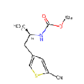 CC(C)(C)OC(=O)N[C@@H](Cc1csc(C#N)c1)C(=O)O